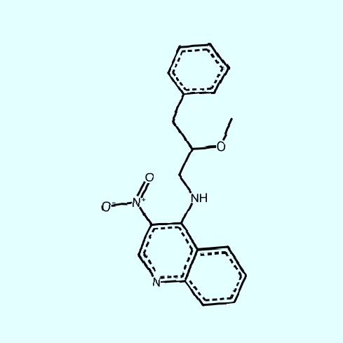 COC(CNc1c([N+](=O)[O-])cnc2ccccc12)Cc1ccccc1